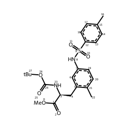 COC(=O)[C@H](Cc1cc(NS(=O)(=O)c2ccc(C)cc2)ccc1C)NC(=O)OC(C)(C)C